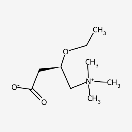 CCO[C@H](CC(=O)[O-])C[N+](C)(C)C